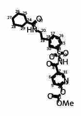 COC(=O)Oc1ccc(C(=O)NS(=O)(=O)c2cccc(CCNC(=O)C3CCCCC3)c2)cn1